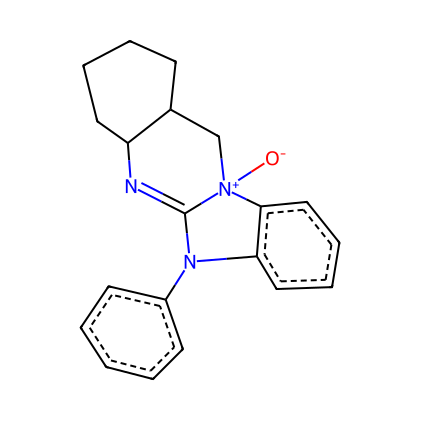 [O-][N+]12CC3CCCCC3N=C1N(c1ccccc1)c1ccccc12